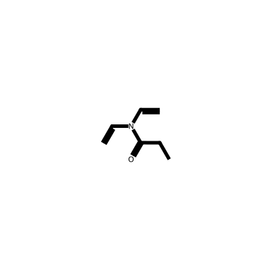 C=CN(C=C)C(=O)CC